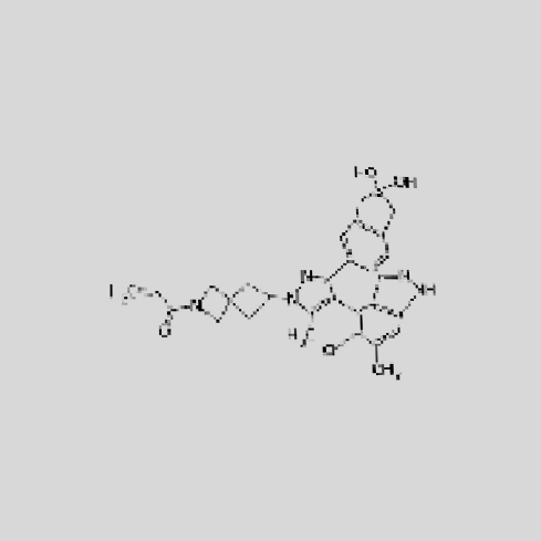 C=CC(=O)N1CC2(CC(n3nc(-c4ccc5c(c4)CS(O)(O)C5)c(-c4c(Cl)c(C)cc5[nH]ncc45)c3C)C2)C1